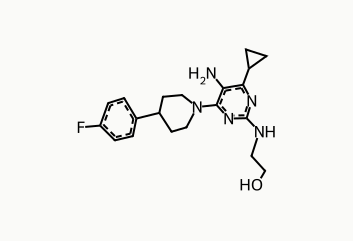 Nc1c(C2CC2)nc(NCCO)nc1N1CCC(c2ccc(F)cc2)CC1